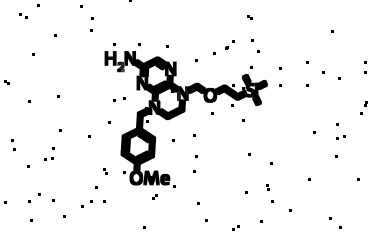 COc1ccc(CN2CCN(COCC[Si](C)(C)C)c3ncc(N)nc32)cc1